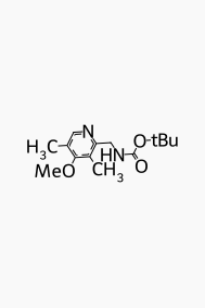 COc1c(C)cnc(CNC(=O)OC(C)(C)C)c1C